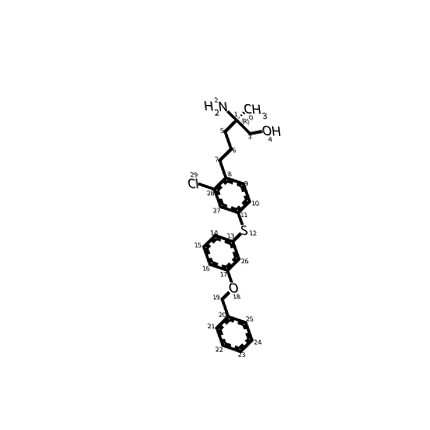 C[C@](N)(CO)CCCc1ccc(Sc2cccc(OCc3ccccc3)c2)cc1Cl